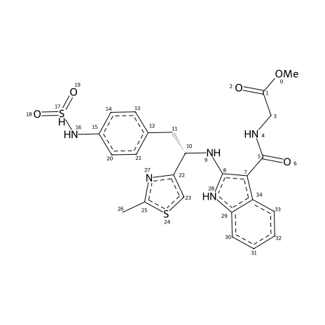 COC(=O)CNC(=O)c1c(N[C@@H](Cc2ccc(N[SH](=O)=O)cc2)c2csc(C)n2)[nH]c2ccccc12